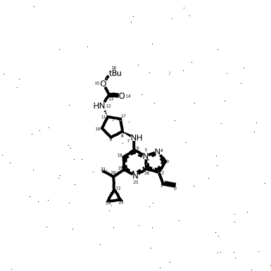 C=Cc1cnn2c(N[C@H]3CC[C@H](NC(=O)OC(C)(C)C)C3)cc(C(C)C3CC3)nc12